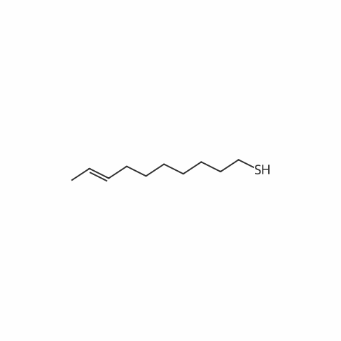 CC=CCCCCCCCS